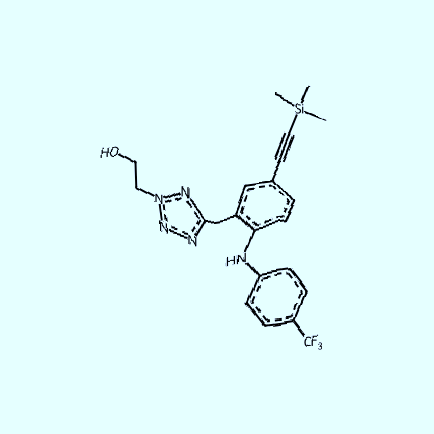 C[Si](C)(C)C#Cc1ccc(Nc2ccc(C(F)(F)F)cc2)c(-c2nnn(CCO)n2)c1